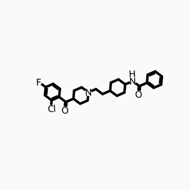 O=C(NC1CCC(CCN2CCC(C(=O)c3ccc(F)cc3Cl)CC2)CC1)c1ccccc1